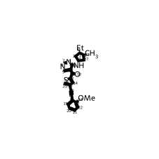 CC[C@H]1C[C@@H](Nc2ncncc2C(=O)c2cc(C#Cc3ccccc3OC)cs2)C[C@@H]1C